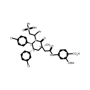 COc1cc(NC(=O)C[C@@]2(C)C[C@H](c3cccc(Cl)c3)[C@@H](c3ccc(Cl)cc3)N(C(CS(=N)(=O)C(C)C)C(C)C)C2=O)ccc1C(=O)O